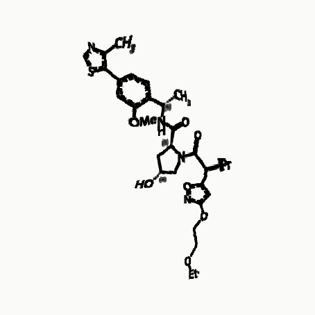 C[CH]OCCOc1cc(C(C(=O)N2C[C@H](O)C[C@H]2C(=O)N[C@@H](C)c2ccc(-c3scnc3C)cc2OC)C(C)C)on1